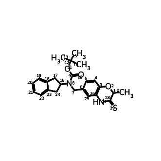 CC1Oc2ccc(CN(C(=O)OC(C)(C)C)C3Cc4ccccc4C3)cc2NC1=S